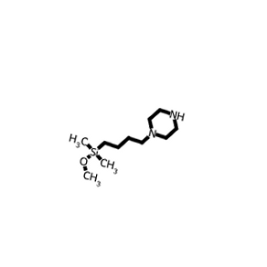 CO[Si](C)(C)CCCCN1CCNCC1